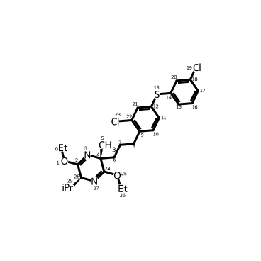 CCOC1=N[C@](C)(CCCc2ccc(Sc3cccc(Cl)c3)cc2Cl)C(OCC)=N[C@H]1C(C)C